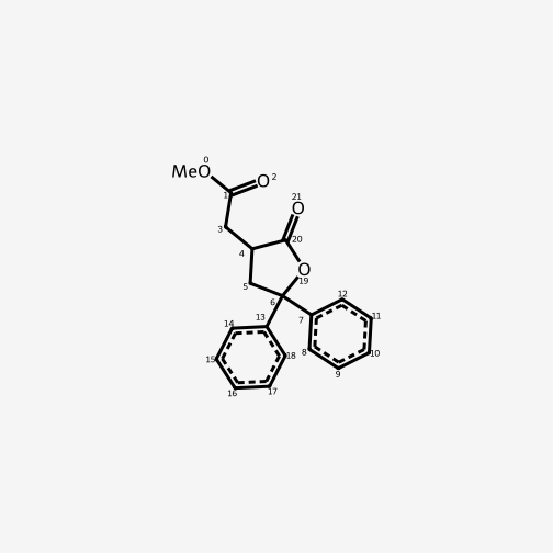 COC(=O)CC1CC(c2ccccc2)(c2ccccc2)OC1=O